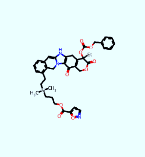 CCC1(OC(=O)OCc2ccccc2)C(=O)OCC2=C1CC1=C(C2=O)N2Cc3c(cccc3CC[Si](C)(C)CCCOC(=O)c3ccno3)C=C2N1